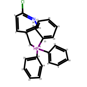 Clc1ccc(C[PH](c2ccccc2)(c2ccccc2)c2ccccc2)cn1